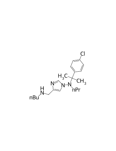 CCCCNCc1cn(N(CCC)C(C)(C)c2ccc(Cl)cc2)cn1